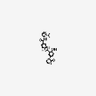 COc1ncccc1-c1ccc(O)c(-c2nc3cc(C(=O)Nc4ccnn4C(C)C)ccc3[nH]2)c1